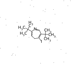 CC(C)(C)C1=CCC(I)=C(C(C)(C)C)C=N1